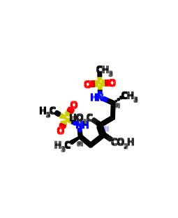 C[C@H](C/C(C(=O)O)=C(/C[C@@H](C)NS(C)(=O)=O)C(=O)O)NS(C)(=O)=O